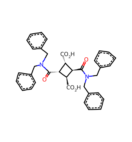 O=C(O)[C@H]1[C@H](C(=O)N(Cc2ccccc2)Cc2ccccc2)[C@H](C(=O)O)[C@H]1C(=O)N(Cc1ccccc1)Cc1ccccc1